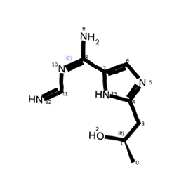 C[C@@H](O)Cc1ncc(/C(N)=N\C=N)[nH]1